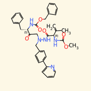 C=C(C)[C@@H](NC(=O)OC)C(=O)NN(CC(=O)[C@H](Cc1ccccc1)NC(=O)OCc1ccccc1)Cc1ccc(-c2ccccn2)cc1